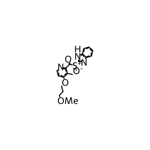 COCCCOc1ccnc(C(=O)[S+]([O-])c2nc3ccccc3[nH]2)c1C